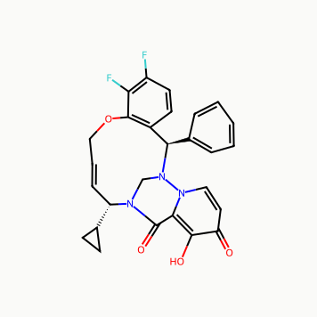 O=C1c2c(O)c(=O)ccn2N2CN1[C@H](C1CC1)/C=C/COc1c(ccc(F)c1F)[C@H]2c1ccccc1